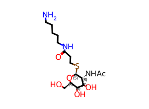 CC(=O)N[C@@H]1[C@@H](O)[C@@H](O)[C@@H](CO)O[C@H]1SCCC(=O)NCCCCCN